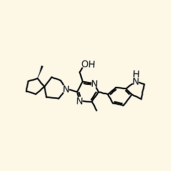 Cc1nc(N2CCC3(CCC[C@H]3C)CC2)c(CO)nc1-c1ccc2c(c1)NCC2